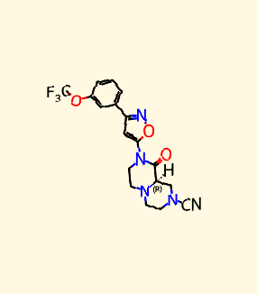 N#CN1CCN2CCN(c3cc(-c4cccc(OC(F)(F)F)c4)no3)C(=O)[C@H]2C1